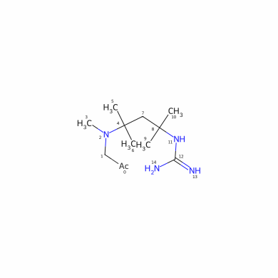 CC(=O)CN(C)C(C)(C)CC(C)(C)NC(=N)N